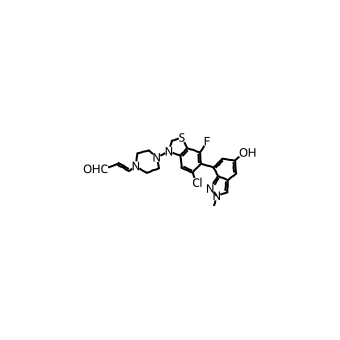 Cn1cc2cc(O)cc(-c3c(Cl)cc4c(c3F)SCN4N3CCN(C=CC=O)CC3)c2n1